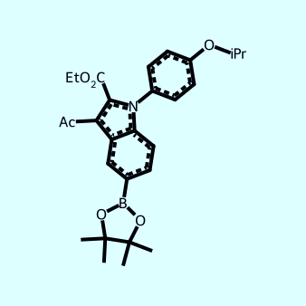 CCOC(=O)c1c(C(C)=O)c2cc(B3OC(C)(C)C(C)(C)O3)ccc2n1-c1ccc(OC(C)C)cc1